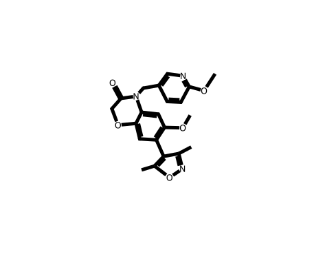 COc1ccc(CN2C(=O)COc3cc(-c4c(C)noc4C)c(OC)cc32)cn1